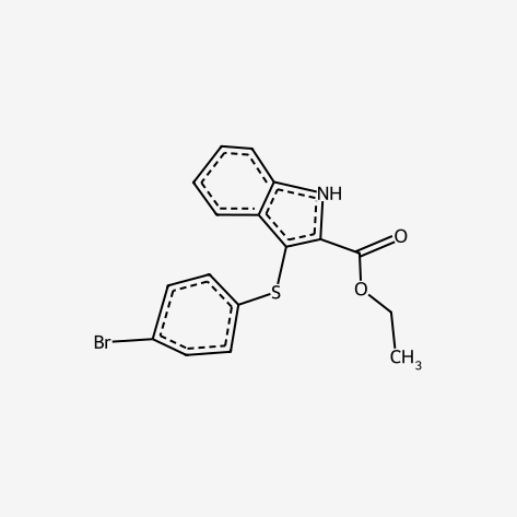 CCOC(=O)c1[nH]c2ccccc2c1Sc1ccc(Br)cc1